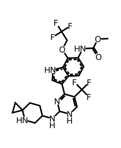 COC(=O)Nc1ccc2c(C3=NC(NC4CCC5(CC5)NC4)NC=C3C(F)(F)F)c[nH]c2c1OCC(F)(F)F